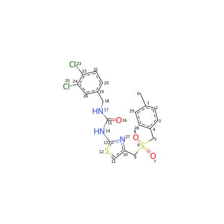 Cc1ccc(CS(=O)(=O)Cc2csc(NC(=O)NCc3ccc(Cl)c(Cl)c3)n2)cc1